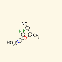 N#Cc1ccc(-c2cc(COCC3(c4ccc(F)c(F)c4)CCN(C(=O)O)CC3)cc(C(F)(F)F)c2)cc1